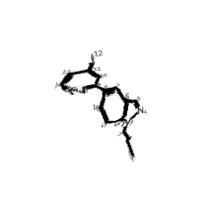 CCCn1ncc2cc(-c3cc(I)ccn3)ccc21